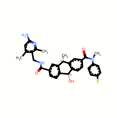 Cc1cc(N)nc(C)c1CNC(=O)c1ccc2c(c1)[C@H](C)c1cc(C(=O)N(C)c3ccc(F)cc3)ccc1[C@@H]2O